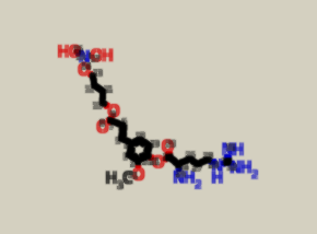 COc1cc(/C=C/C(=O)OCCCCON(O)O)ccc1OC(=O)C(N)CCCNC(=N)N